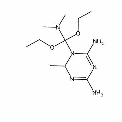 CCOC(OCC)(N(C)C)N1C(N)=NC(N)=NC1C